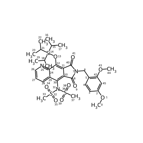 COc1ccc(CN2C(=O)c3c(c(O[Si](C(C)C)(C(C)C)C(C)C)c4ncccc4c3N(S(C)(=O)=O)S(C)(=O)=O)C2=O)c(OC)c1